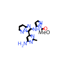 COC(=O)n1nccc1Nc1nc2cccnn2c1-c1cc(N)nc(C)n1